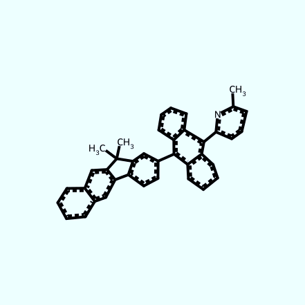 Cc1cccc(-c2c3ccccc3c(-c3ccc4c(c3)C(C)(C)c3cc5ccccc5cc3-4)c3ccccc23)n1